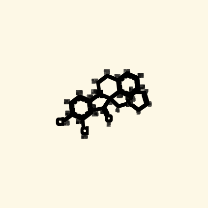 CC(=O)C1(CN2CC=CC2)c2ccccc2CCN1c1ccc(Cl)c(Cl)c1